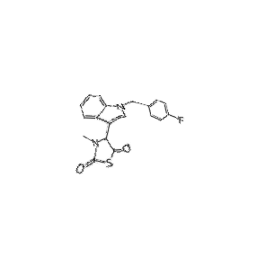 CN1C(=O)SC(=O)C1c1cn(Cc2ccc(F)cc2)c2ccccc12